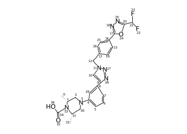 C[C@@H]1CN(c2cccc(-c3cn(Cc4ccc(-c5nnc(C(F)F)o5)cc4)nn3)c2)C[C@H](C)N1C(=O)O